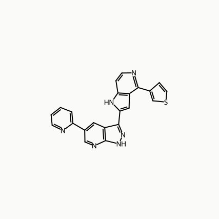 c1ccc(-c2cnc3[nH]nc(-c4cc5c(-c6ccsc6)nccc5[nH]4)c3c2)nc1